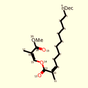 CCCCCCCCCCCCCCCCCCC=C(C)C(=O)OC=C(C)C(=O)OC